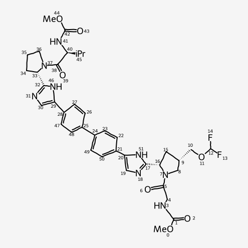 COC(=O)NCC(=O)N1C[C@@H](COC(F)F)C[C@H]1c1ncc(-c2ccc(-c3ccc(-c4cnc([C@@H]5CCCN5C(=O)[C@@H](NC(=O)OC)C(C)C)[nH]4)cc3)cc2)[nH]1